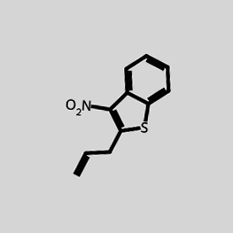 C=CCc1sc2ccccc2c1[N+](=O)[O-]